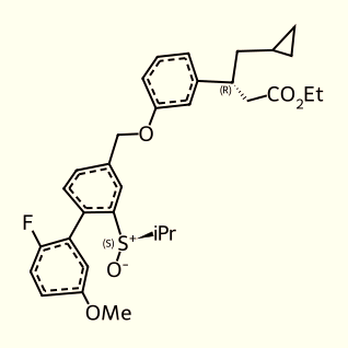 CCOC(=O)C[C@@H](CC1CC1)c1cccc(OCc2ccc(-c3cc(OC)ccc3F)c([S@+]([O-])C(C)C)c2)c1